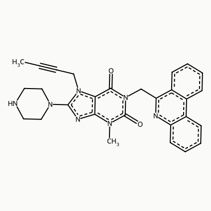 CC#CCn1c(N2CCNCC2)nc2c1c(=O)n(Cc1nc3ccccc3c3ccccc13)c(=O)n2C